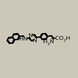 N[C@@H](Cc1ccc(-c2cnc(NCc3ccc4ccccc4c3)cn2)cc1)C(=O)O